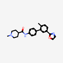 Cc1ccc(-c2ncco2)cc1-c1ccc(NC(=O)C2CCN(C)CC2)cc1